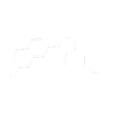 COCC1OCN(c2ccc3ccc(O)cc3c2)C1=O